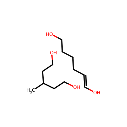 CC(CCO)CCO.O/C=C/CCCCO